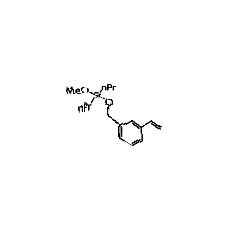 C=Cc1cccc(CO[Si](CCC)(CCC)OC)c1